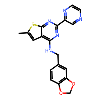 Cc1cc2c(NCc3ccc4c(c3)OCO4)nc(-c3cnccn3)nc2s1